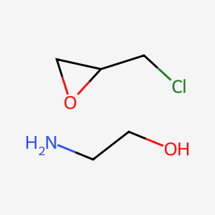 ClCC1CO1.NCCO